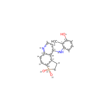 Cc1c(O)cccc1Nc1ccnc2ccc3c(c12)CCS3(=O)=O